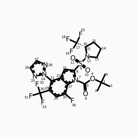 CC(C)(C)OC(=O)n1c(S(=O)(=O)N2CCC[C@H]2C(F)(F)F)cc2c(-n3nccn3)c(C(F)(F)F)cc(F)c21